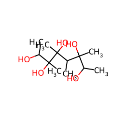 CC(O)C(C)(O)C(C)C(C)(O)C(C)(O)C(C)O